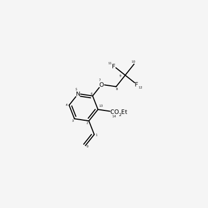 C=Cc1ccnc(OCC(C)(F)F)c1C(=O)OCC